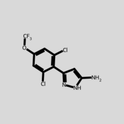 Nc1cc(-c2c(Cl)cc(OC(F)(F)F)cc2Cl)n[nH]1